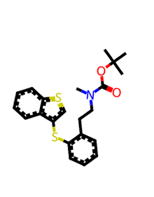 CN(CCc1ccccc1Sc1csc2ccccc12)C(=O)OC(C)(C)C